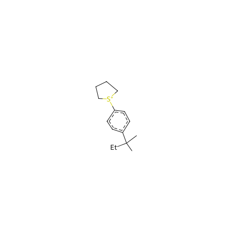 CCC(C)(C)c1ccc([S+]2CCCC2)cc1